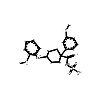 COc1cccc(C2(C(=O)NS(=O)(=O)O)CCC(Nc3ccccc3OC)CC2)c1